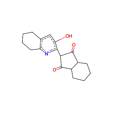 O=C1C(c2nc3c(cc2O)CCCC3)C(=O)C2CCCCC12